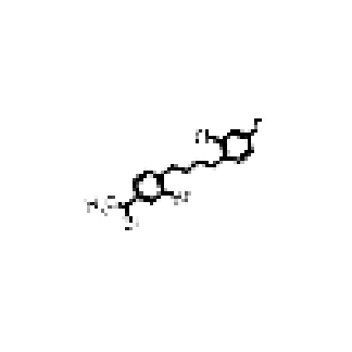 CC(Br)c1ccc(CCCCc2ccc(F)cc2Cl)c(Br)c1